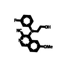 COc1ccc2cnc(C#N)c(N(CCO)c3cccc(F)c3)c2c1